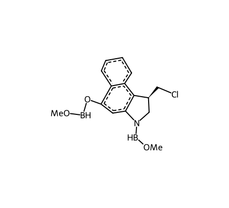 COBOc1cc2c(c3ccccc13)[C@@H](CCl)CN2BOC